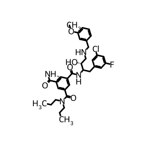 CCCN(CCC)C(=O)c1cc(C(N)=O)cc(C(=O)NC(Cc2cc(F)cc(Cl)c2)[C@H](O)CNCc2cccc(OC)c2)c1